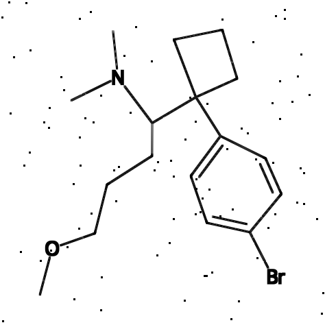 COCCCC(N(C)C)C1(c2ccc(Br)cc2)CCC1